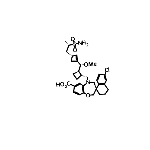 CO[C@@H](C1=C[C@@H](C[C@H](C)S(N)(=O)=O)C1)[C@@H]1CC[C@H]1CN1C[C@@]2(CCCc3cc(Cl)ccc32)COc2ccc(C(=O)O)cc21